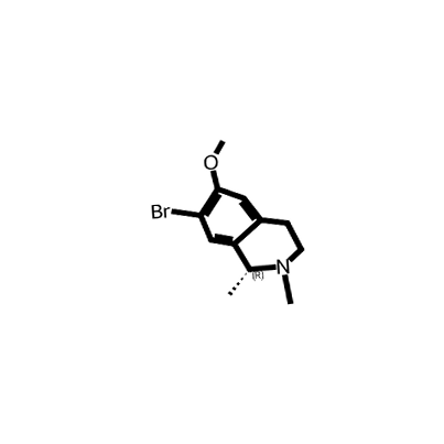 COc1cc2c(cc1Br)[C@@H](C)N(C)CC2